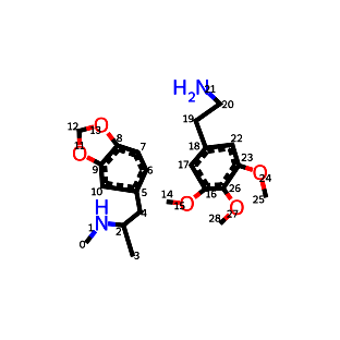 CNC(C)Cc1ccc2c(c1)OCO2.COc1cc(CCN)cc(OC)c1OC